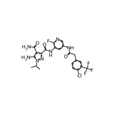 CC(C)n1nc(C(=O)Nc2cc(NC(=O)Cc3ccc(Cl)c(C(F)(F)F)c3)cnc2F)c(C(N)=O)c1N